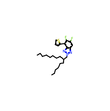 CCCCCCCCC(CCCCCC)Cn1nc2cc(F)c(F)c(-c3cccs3)c2n1